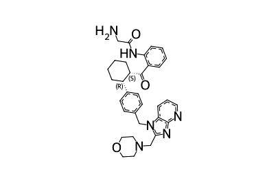 NCC(=O)Nc1ccccc1C(=O)[C@H]1CCCC[C@H]1c1ccc(Cn2c(CN3CCOCC3)nc3ncccc32)cc1